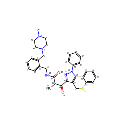 CN1CCN(Cc2ccccc2CNC(=O)C(C#N)C(=O)c2nn(-c3ccccc3)c3c2CSc2ccccc2-3)CC1